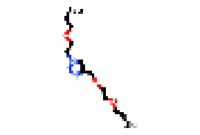 CC(C)(C)CCOCCOCc1cn(CCOCCC(C)(C)C)nn1